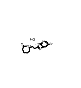 Cl.O=C1CCCCC(CCc2nc3cc(Br)cnc3[nH]2)N1